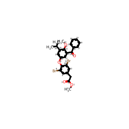 COC(=O)Cc1cc(Br)c(Oc2cc(C(=O)c3ccccc3)c(OC)c(C(C)C)c2)c(Br)c1